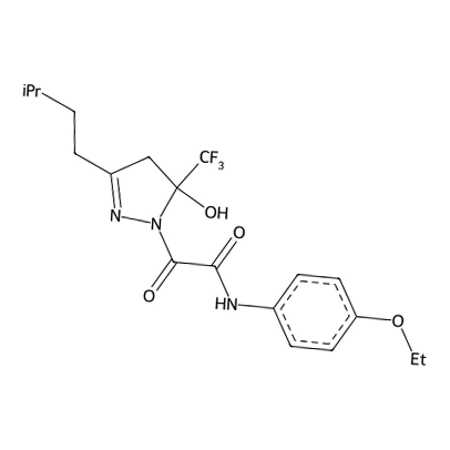 CCOc1ccc(NC(=O)C(=O)N2N=C(CCC(C)C)CC2(O)C(F)(F)F)cc1